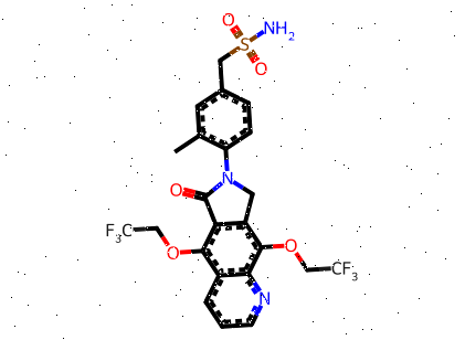 Cc1cc(CS(N)(=O)=O)ccc1N1Cc2c(c(OCC(F)(F)F)c3cccnc3c2OCC(F)(F)F)C1=O